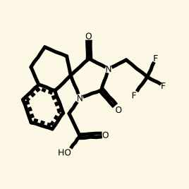 O=C(O)CN1C(=O)N(CC(F)(F)F)C(=O)C12CCCc1ccccc12